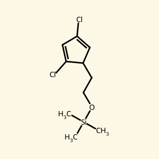 C[Si](C)(C)OCCC1C=C(Cl)C=C1Cl